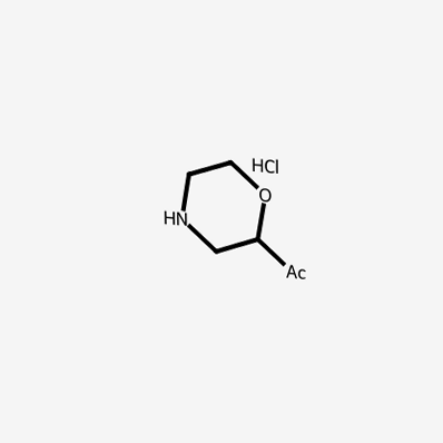 CC(=O)C1CNCCO1.Cl